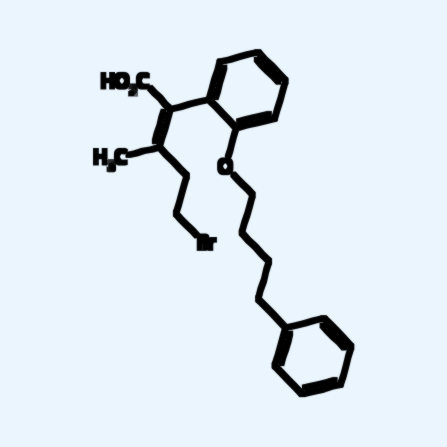 CC(CCBr)=C(C(=O)O)c1ccccc1OCCCCc1ccccc1